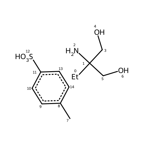 CCC(N)(CO)CO.Cc1ccc(S(=O)(=O)O)cc1